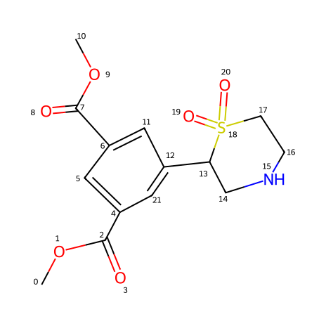 COC(=O)c1cc(C(=O)OC)cc(C2CNCCS2(=O)=O)c1